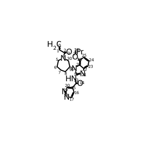 C=CC(=O)N1CCCC[C@@H](n2c(NC(=O)c3ccnnc3)nc3cccc(OC(C)C)c32)C1